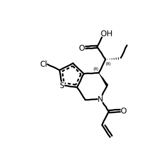 C=CC(=O)N1Cc2sc(Cl)cc2[C@@H]([C@@H](CC)C(=O)O)C1